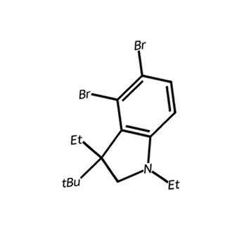 CCN1CC(CC)(C(C)(C)C)c2c1ccc(Br)c2Br